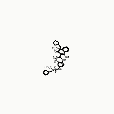 CC1(CC2CCCC2)C(=O)C(C2=NS(=O)(=O)c3cc(NS(=O)(=O)N(Cc4ccccc4)C(=O)O)ccc3N2)=C(O)c2ccccc21